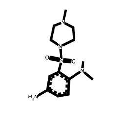 CN1CCN(S(=O)(=O)c2cc(N)ccc2N(C)C)CC1